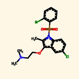 Cc1c(OCCN(C)C)c2cc(Cl)ccc2n1S(=O)(=O)c1ccccc1Br